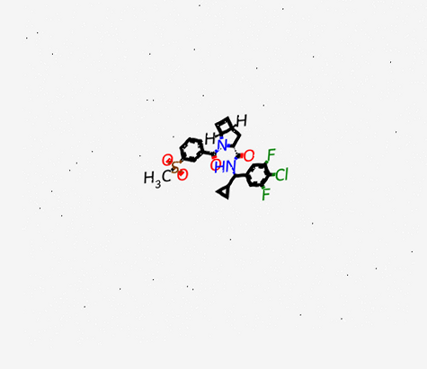 CS(=O)(=O)c1cccc(C(=O)N2[C@@H](C(=O)N[C@@H](c3cc(F)c(Cl)c(F)c3)C3CC3)C[C@H]3C=C[C@H]32)c1